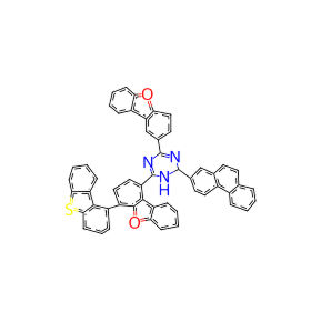 c1ccc2c(c1)ccc1cc(C3N=C(c4ccc5oc6ccccc6c5c4)N=C(c4ccc(-c5cccc6sc7ccccc7c56)c5oc6ccccc6c45)N3)ccc12